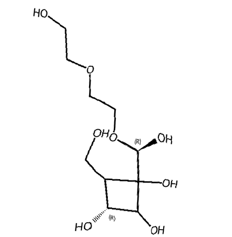 OCCOCCO[C@@H](O)C1(O)C(O)[C@H](O)C1CO